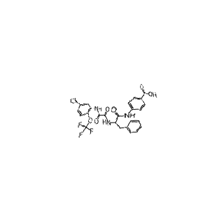 O=C(Nc1cc(Cl)ccc1OC(F)(F)F)C(=O)NC(Cc1ccccc1)C(=O)Nc1ccc(C(=O)O)cc1